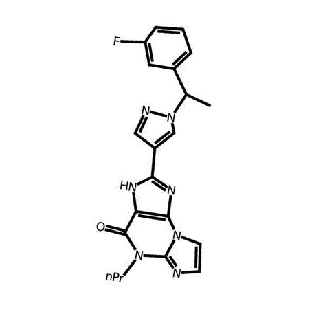 CCCn1c(=O)c2[nH]c(-c3cnn(C(C)c4cccc(F)c4)c3)nc2n2ccnc12